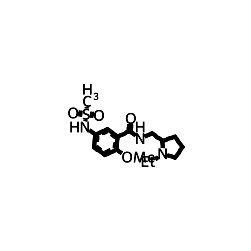 CCN1CCCC1CNC(=O)c1cc(NS(C)(=O)=O)ccc1OC